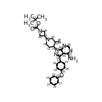 CC(C)(C)OC(=O)N1CC(N2CCC(n3nc(-c4ccc(Oc5ccccc5)cc4)c4c(N)ncnc43)C(F)C2)C1